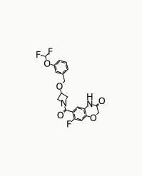 O=C1COc2cc(F)c(C(=O)N3CC(OCc4cccc(OC(F)F)c4)C3)cc2N1